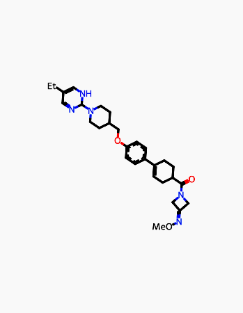 CCC1=CNC(N2CCC(COc3ccc(C4=CCC(C(=O)N5CC(=NOC)C5)CC4)cc3)CC2)N=C1